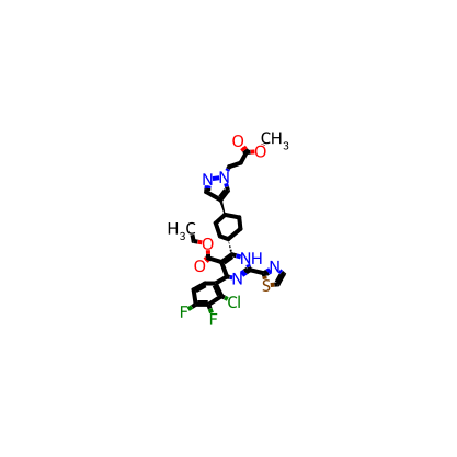 CCOC(=O)C1=C([C@H]2CC[C@H](c3cnn(CCC(=O)OC)c3)CC2)NC(c2nccs2)=NC1c1ccc(F)c(F)c1Cl